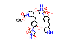 CC(C)(C)OC(=O)N1CCCC(Cc2ccc(N3CC(=O)NS3(=O)=O)c(O)c2)C1.O=C1CN(c2ccc(CC3CCCNC3)cc2O)S(=O)(=O)N1